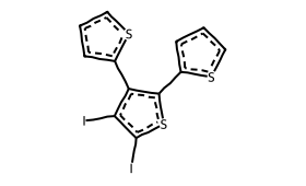 Ic1sc(-c2cccs2)c(-c2cccs2)c1I